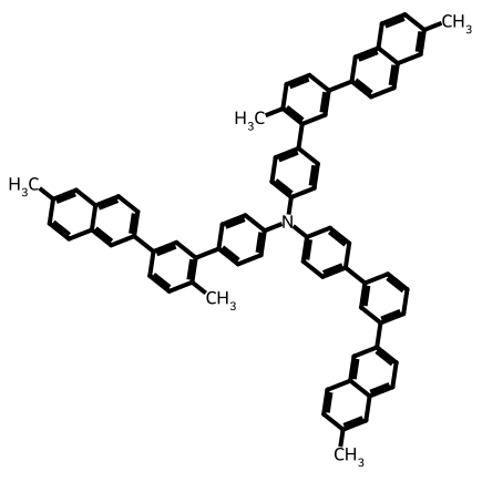 Cc1ccc2cc(-c3cccc(-c4ccc(N(c5ccc(-c6cc(-c7ccc8cc(C)ccc8c7)ccc6C)cc5)c5ccc(-c6cc(-c7ccc8cc(C)ccc8c7)ccc6C)cc5)cc4)c3)ccc2c1